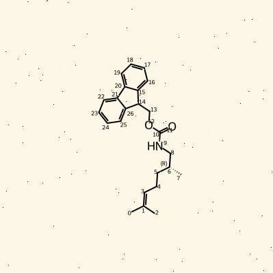 CC(C)=CCC[C@@H](C)CNC(=O)OCC1c2ccccc2-c2ccccc21